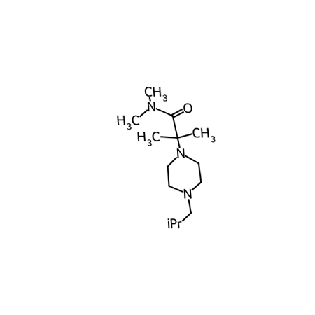 CC(C)CN1CCN(C(C)(C)C(=O)N(C)C)CC1